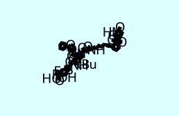 CC(C)(C)C(NC(=O)c1cc2cc(C(F)(F)P(=O)(O)O)ccc2s1)C(=O)N1CCN(C(=O)CC(=O)NCCCCCC#Cc2cccc3c2C(=O)N(C2CCC(=O)NC2=O)C3=O)C[C@H]1C(=O)N1CCO[C@H](c2ccccc2)C1